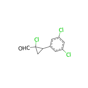 O=CC1(Cl)CC1c1cc(Cl)cc(Cl)c1